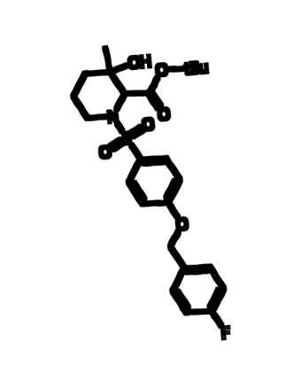 CC(C)(C)OC(=O)C1N(S(=O)(=O)c2ccc(OCc3ccc(F)cc3)cc2)CCCC1(C)O